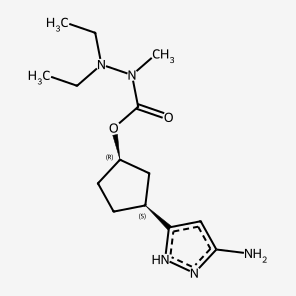 CCN(CC)N(C)C(=O)O[C@@H]1CC[C@H](c2cc(N)n[nH]2)C1